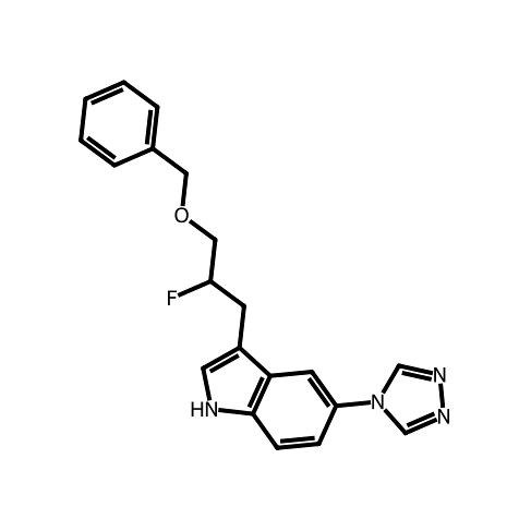 FC(COCc1ccccc1)Cc1c[nH]c2ccc(-n3cnnc3)cc12